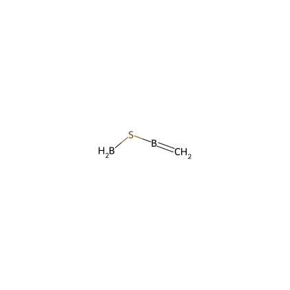 BSB=C